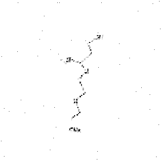 COCCOCCOC([SiH3])CCS